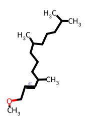 COC/C=C/C(C)CCCC(C)CCCC(C)C